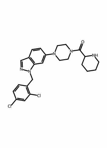 O=C(C1CCCCN1)N1CCN(c2ccc3cnn(Cc4ccc(Cl)cc4Cl)c3c2)CC1